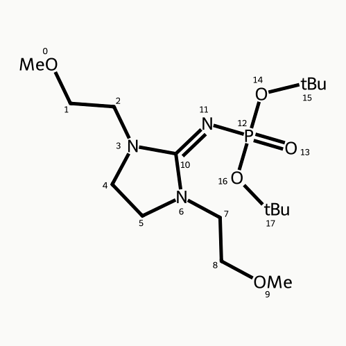 COCCN1CCN(CCOC)C1=NP(=O)(OC(C)(C)C)OC(C)(C)C